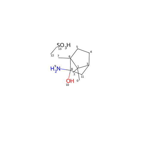 CC1(C)C2CCC1(C)C(N)(O)C2.CS(=O)(=O)O